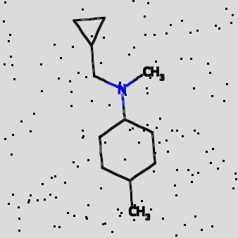 CC1CCC(N(C)CC2CC2)CC1